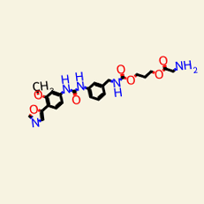 COc1cc(NC(=O)Nc2cccc(CNC(=O)OCCCOC(=O)CN)c2)ccc1-c1cnco1